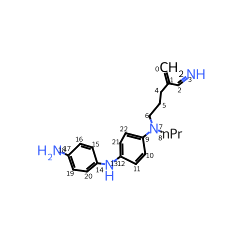 C=C(C=N)CCCN(CCC)c1ccc(Nc2ccc(N)cc2)cc1